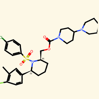 Cc1cc([C@@H]2CCC[C@H](COC(=O)N3CCC(N4CCCCC4)CC3)N2S(=O)(=O)c2ccc(Cl)cc2)ccc1F